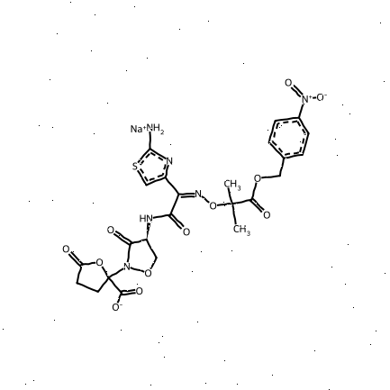 CC(C)(ON=C(C(=O)N[C@H]1CON(C2(C(=O)[O-])CCC(=O)O2)C1=O)c1csc(N)n1)C(=O)OCc1ccc([N+](=O)[O-])cc1.[Na+]